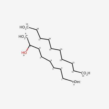 CCCCCCCCCCCCCCCCC(O)C(=O)O.O=C(O)CCCCCCCCC(=O)O